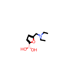 CCN(CC)Cc1ccc(B(O)O)o1